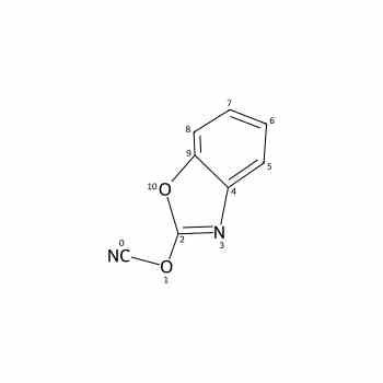 N#COc1nc2ccccc2o1